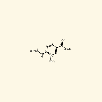 CCCCCNc1ccc(C(=O)OC)cc1[N+](=O)[O-]